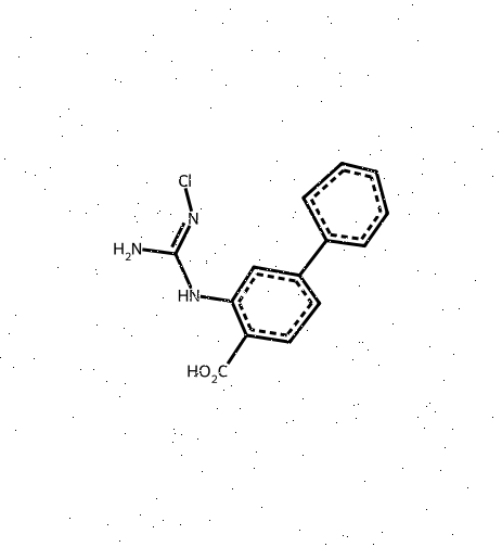 NC(=NCl)Nc1cc(-c2ccccc2)ccc1C(=O)O